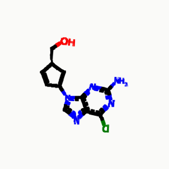 Nc1nc(Cl)c2ncn(C3C=C[C@@H](CO)C3)c2n1